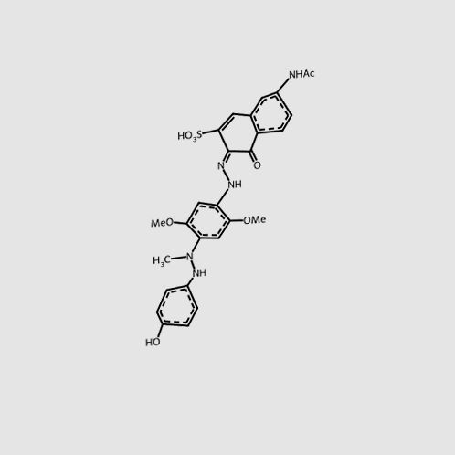 COc1cc(N(C)Nc2ccc(O)cc2)c(OC)cc1N/N=C1\C(=O)c2ccc(NC(C)=O)cc2C=C1S(=O)(=O)O